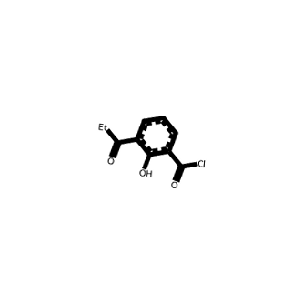 CCC(=O)c1cccc(C(=O)Cl)c1O